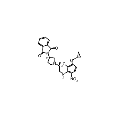 CN(CCN1CC[C@@H](N2C(=O)c3ccccc3C2=O)C1)c1c([N+](=O)[O-])ccc(OC2CC2)c1C(F)(F)F